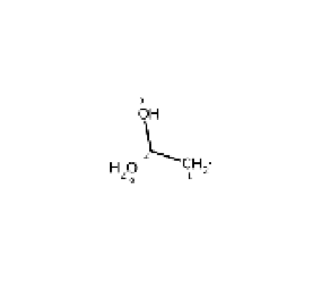 O.[CH2]CO